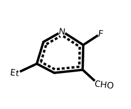 CCc1cnc(F)c(C=O)c1